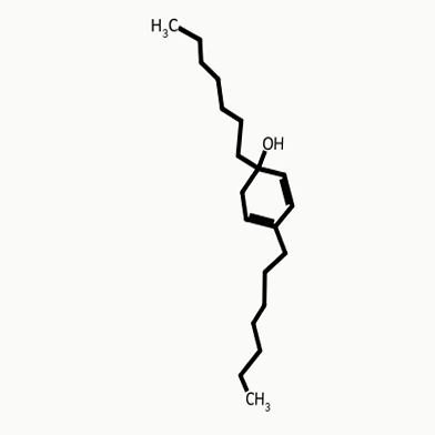 CCCCCCCC1=CCC(O)(CCCCCCC)C=C1